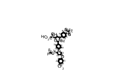 CCS(=O)(=O)c1ccc(C(CCN(C)C(=O)O)NC(=O)c2ccc(N3C[C@@H](Oc4ccc(C(F)(F)F)cc4)C[C@H]3COC(F)F)cc2)cc1